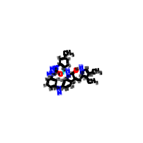 Cc1ccc(F)c(NC(=O)Nc2cccc(Nc3ccc4c(c3)NC(=O)/C4=C\c3[nH]cc(C)c3C)c2)c1